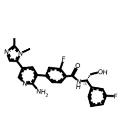 Cc1ncc(-c2cnc(N)c(-c3ccc(C(=O)N[C@H](CO)c4cccc(F)c4)c(F)c3)c2)n1C